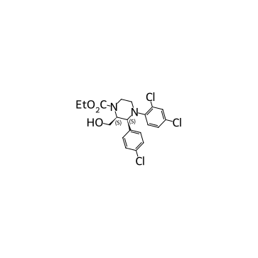 CCOC(=O)N1CCN(c2ccc(Cl)cc2Cl)[C@@H](c2ccc(Cl)cc2)[C@H]1CO